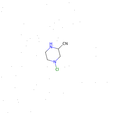 N#CC1CN(Cl)CCN1